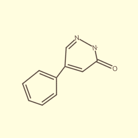 O=C1C=C(c2ccccc2)C=N[N]1